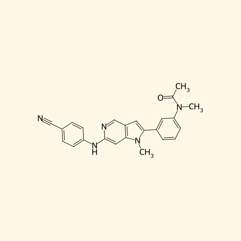 CC(=O)N(C)c1cccc(-c2cc3cnc(Nc4ccc(C#N)cc4)cc3n2C)c1